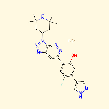 Br.CC1(C)CC(n2nnc3cc(-c4cc(F)c(-c5cn[nH]c5)cc4O)nnc32)CC(C)(C)N1